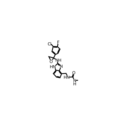 CNC(=O)NCc1cccc2[nH]c(NC3(c4ccc(F)c(Cl)c4)CO3)nc12